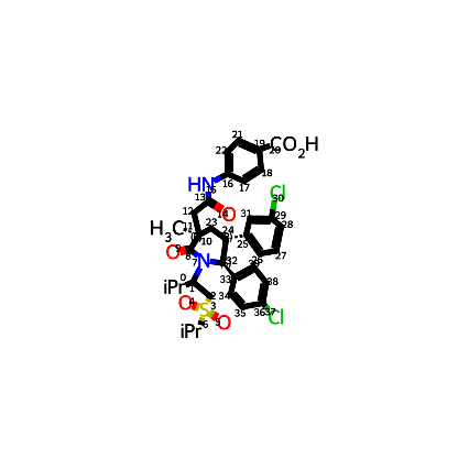 CC(C)C(CS(=O)(=O)C(C)C)N1C(=O)[C@@](C)(CC(=O)Nc2ccc(C(=O)O)cc2)C[C@H](c2cccc(Cl)c2)[C@H]1c1ccc(Cl)cc1